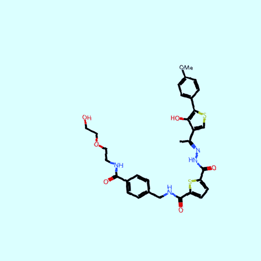 COc1ccc(-c2scc(/C(C)=N/NC(=O)c3ccc(C(=O)NCc4ccc(C(=O)NCCOCCO)cc4)s3)c2O)cc1